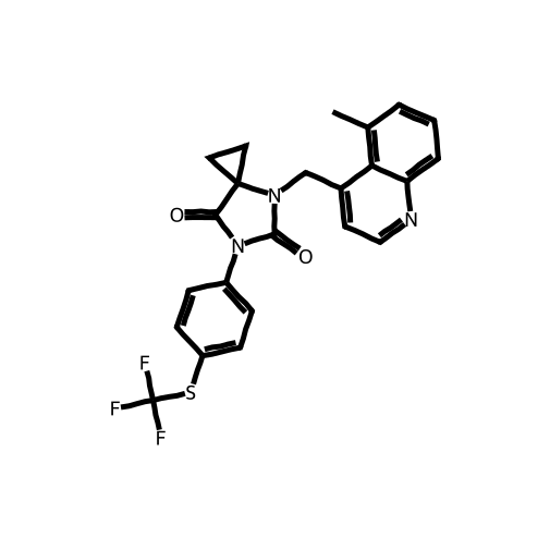 Cc1cccc2nccc(CN3C(=O)N(c4ccc(SC(F)(F)F)cc4)C(=O)C34CC4)c12